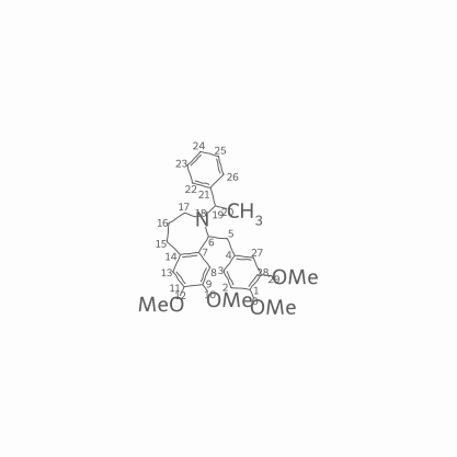 COc1ccc(CC2c3cc(OC)c(OC)cc3CCCN2C(C)c2ccccc2)cc1OC